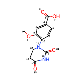 COc1cc(C(=O)O)ccc1N1CCC(=O)NC1=O